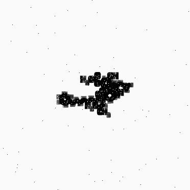 CC(=O)Oc1cc(O)c2c3c1O[C@H]1[C@H](N(CC(C)C)C(=O)CCCCCCCc4ccccc4)CC[C@H]4[C@@H](C2)N(CC2CC2)CC[C@@]341